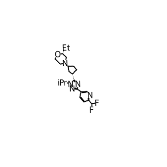 CC[C@@H]1CN([C@@H]2CC[C@H](c3nc(-c4ccc(C(F)F)nc4)nn3C(C)C)C2)CCO1